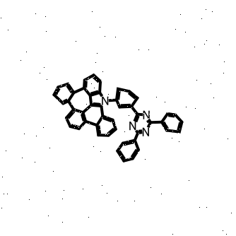 c1ccc(-c2nc(-c3ccccc3)nc(-c3cccc(-n4c5cccc6c5c5c7c(cccc7c7ccccc7c54)-c4ccccc4-6)c3)n2)cc1